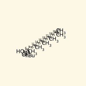 CCCCS(=O)(=O)C(O)/C=C(\C)CC/C=C(\C)CC/C=C(\C)CC/C=C(\C)CCC=C(C)C